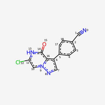 N#Cc1ccc(-c2cnn3cc(Cl)[nH]c(=O)c23)cc1